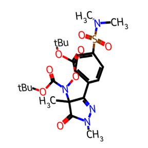 CN1N=C(c2ccc(S(=O)(=O)N(C)C)cc2)C(C)(N(OC(=O)OC(C)(C)C)C(=O)OC(C)(C)C)C1=O